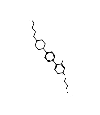 CCCCCC1CCC(c2ccc(C3=CCC(OCCOC)C=C3C)cc2)CC1